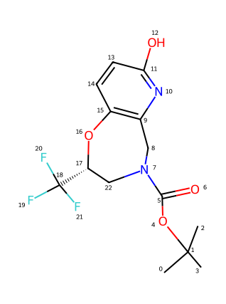 CC(C)(C)OC(=O)N1Cc2nc(O)ccc2O[C@@H](C(F)(F)F)C1